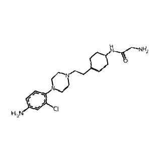 NCC(=O)NC1CCC(CCN2CCN(c3ccc(N)cc3Cl)CC2)CC1